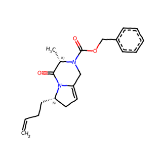 C=CCC[C@H]1CC=C2CN(C(=O)OCc3ccccc3)[C@@H](C)C(=O)N21